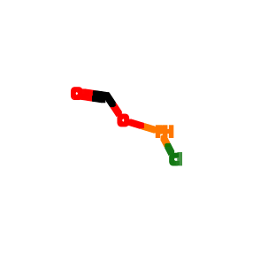 O=COPCl